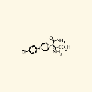 NC(=O)C([C@H](N)C(=O)O)N1CCN(c2ccc(Cl)cc2)CC1